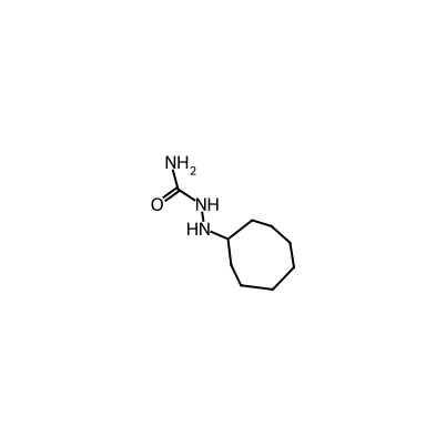 NC(=O)NNC1CCCCCCC1